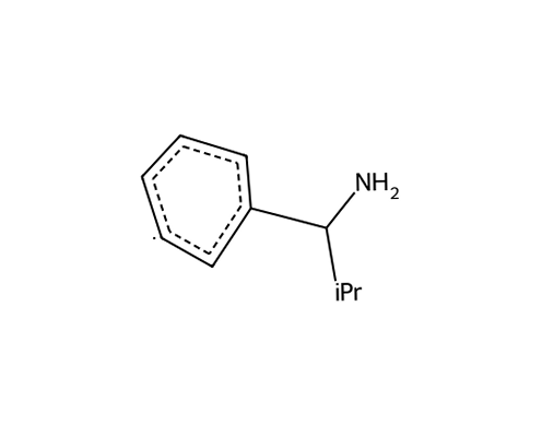 CC(C)C(N)c1c[c]ccc1